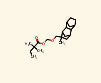 CCC(C)(C)C(=O)OCOCC1(C)CC2CC1C1C3CCC(C3)C21